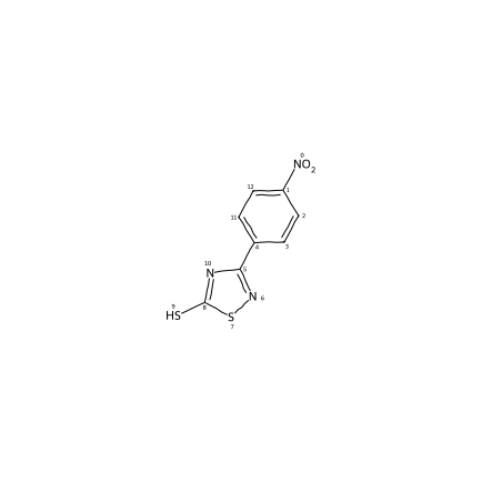 O=[N+]([O-])c1ccc(-c2nsc(S)n2)cc1